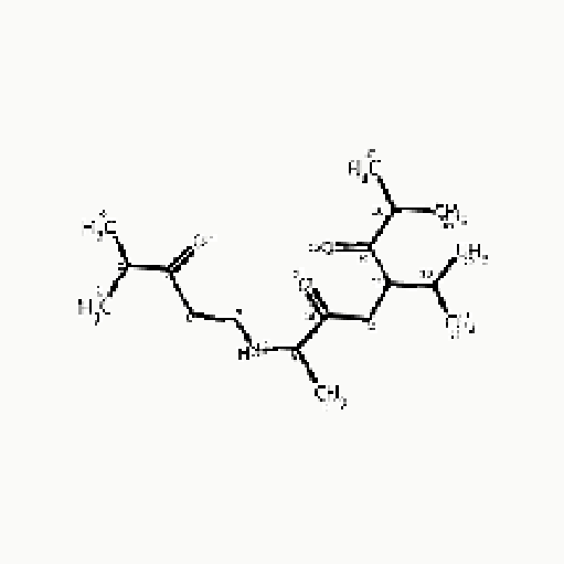 CC(C)C(=O)CCNC(C)C(=O)CC(C(=O)C(C)C)C(C)C